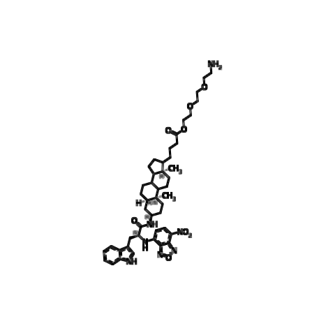 C[C@]12CCC3C(CC[C@@H]4C[C@H](NC(=O)[C@H](Cc5c[nH]c6ccccc56)Nc5ccc([N+](=O)[O-])c6nonc56)CC[C@]34C)C1CCC2CCCC(=O)OCCOCCOCCN